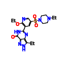 CCOc1ncc(S(=O)(=O)N2CCN(CC)CC2)cc1-c1nc2c(CC)[nH]nc2c(=O)[nH]1